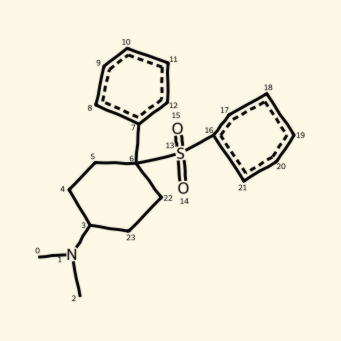 CN(C)C1CCC(c2ccccc2)(S(=O)(=O)c2ccccc2)CC1